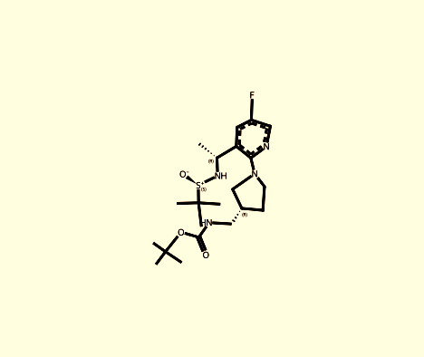 C[C@@H](N[S@+]([O-])C(C)(C)C)c1cc(F)cnc1N1CC[C@H](CNC(=O)OC(C)(C)C)C1